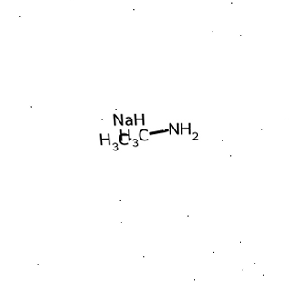 CN.[CH3].[NaH]